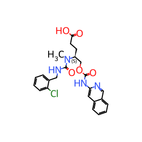 CN(C(=O)NCc1ccccc1Cl)[C@@H](CCC(=O)O)COC(=O)Nc1cc2ccccc2cn1